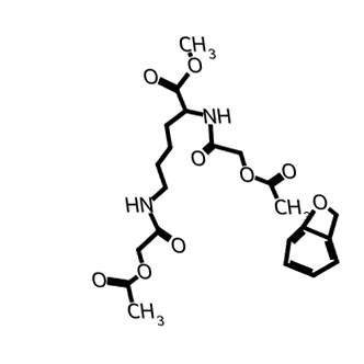 COC(=O)C(CCCCNC(=O)COC(C)=O)NC(=O)COC(C)=O.c1ccc2c(c1)CO2